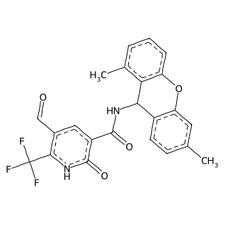 Cc1ccc2c(c1)Oc1cccc(C)c1C2NC(=O)c1cc(C=O)c(C(F)(F)F)[nH]c1=O